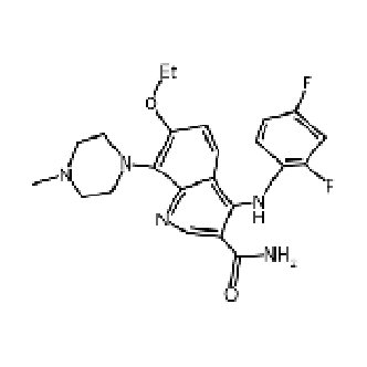 CCOc1ccc2c(Nc3ccc(F)cc3F)c(C(N)=O)cnc2c1N1CCN(C)CC1